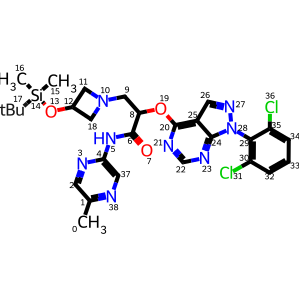 Cc1cnc(NC(=O)C(CN2CC(O[Si](C)(C)C(C)(C)C)C2)Oc2ncnc3c2cnn3-c2c(Cl)cccc2Cl)cn1